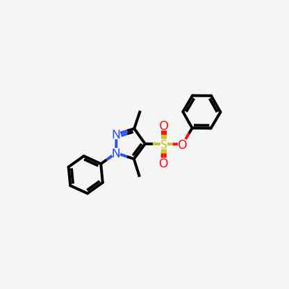 Cc1nn(-c2ccccc2)c(C)c1S(=O)(=O)Oc1ccccc1